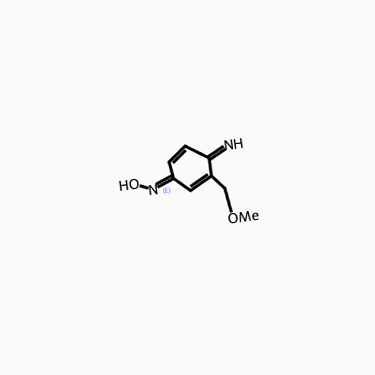 COCC1=C/C(=N/O)C=CC1=N